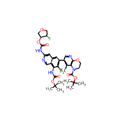 Cc1c(-c2cc3cc(NC(=O)O[C@H]4COC[C@H]4F)ncc3c(NC(=O)OC(C)(C)C)c2F)cnc2c1N(C(=O)OC(C)(C)C)CCO2